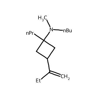 C=C(CC)C1CC(CCC)(N(C)CCCC)C1